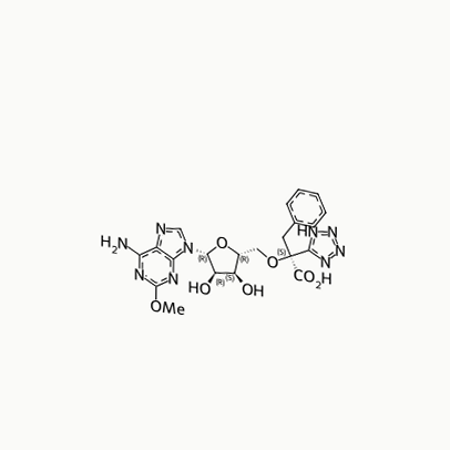 COc1nc(N)c2ncn([C@@H]3O[C@H](CO[C@](Cc4ccccc4)(C(=O)O)c4nnn[nH]4)[C@@H](O)[C@H]3O)c2n1